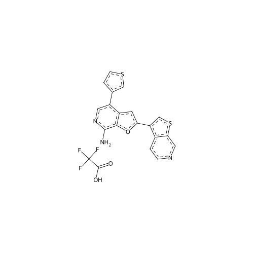 Nc1ncc(-c2ccsc2)c2cc(-c3csc4cnccc34)oc12.O=C(O)C(F)(F)F